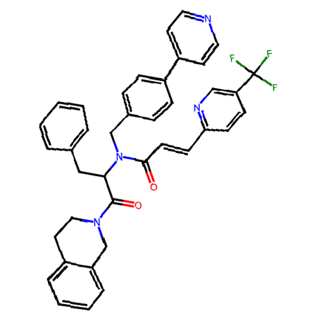 O=C(C(Cc1ccccc1)N(Cc1ccc(-c2ccncc2)cc1)C(=O)C=Cc1ccc(C(F)(F)F)cn1)N1CCc2ccccc2C1